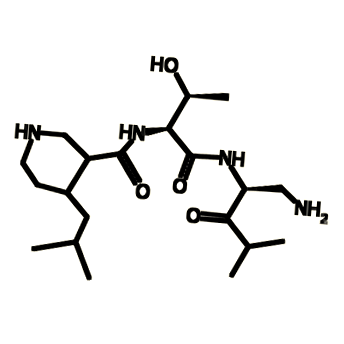 CC(C)CC1CCNCC1C(=O)N[C@H](C(=O)N[C@@H](CN)C(=O)C(C)C)[C@H](C)O